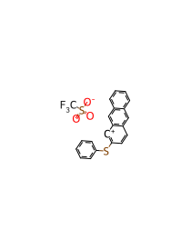 O=S(=O)([O-])C(F)(F)F.[C+]1=C(Sc2ccccc2)C=Cc2cc3ccccc3cc21